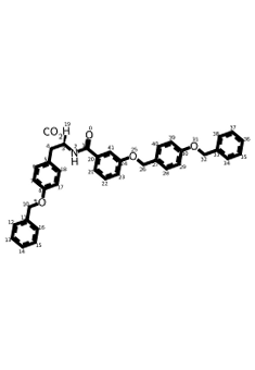 O=C(N[C@@H](Cc1ccc(OCc2ccccc2)cc1)C(=O)O)c1cccc(OCc2ccc(OCc3ccccc3)cc2)c1